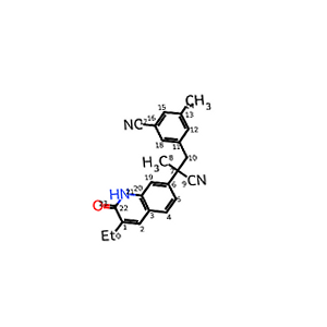 CCc1cc2ccc(C(C)(C#N)Cc3cc(C)cc(C#N)c3)cc2[nH]c1=O